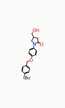 CC(C)(C)c1ccc(COc2ccc(N3CC(CO)CC3=O)cc2)cc1